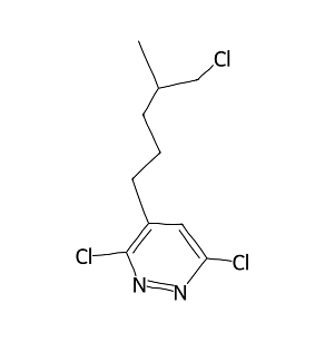 CC(CCl)CCCc1cc(Cl)nnc1Cl